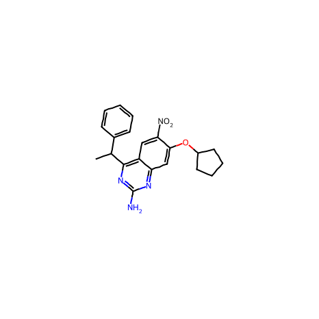 CC(c1ccccc1)c1nc(N)nc2cc(OC3CCCC3)c([N+](=O)[O-])cc12